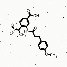 COc1ccc(CCC(=O)Nc2cc(C(=O)O)ccc2C(C)[N+](=O)[O-])cc1